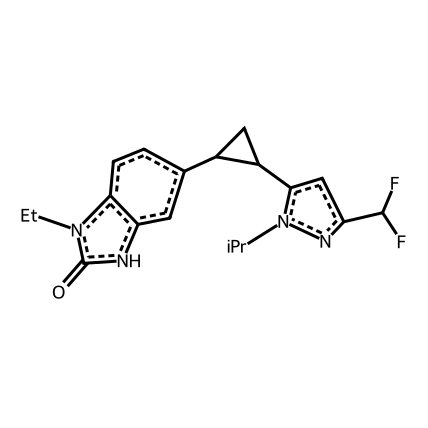 CCn1c(=O)[nH]c2cc(C3CC3c3cc(C(F)F)nn3C(C)C)ccc21